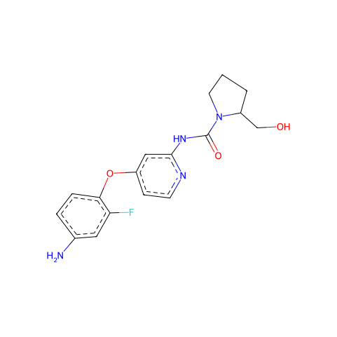 Nc1ccc(Oc2ccnc(NC(=O)N3CCCC3CO)c2)c(F)c1